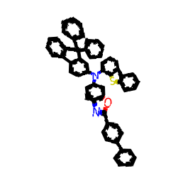 c1ccc(-c2ccc(-c3nc4ccc(N(c5ccc6c(c5)C(c5ccccc5)(c5ccccc5)c5ccccc5-6)c5cccc6c5sc5ccccc56)cc4o3)cc2)cc1